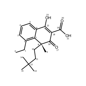 CCc1cccc2c1[C@@](C)(CCC(C)(C)C)C(=O)C(C(=O)O)=C2O